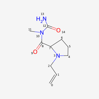 C=CCN1CCCC1C(=O)N(C)C(N)=O